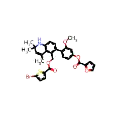 COc1cc(OC(=O)c2ccco2)ccc1-c1ccc2c(c1COC(=O)c1ccc(Br)s1)C(C)=CC(C)(C)N2